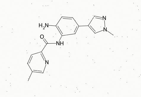 Cc1ccc(C(=O)Nc2cc(-c3cnn(C)c3)ccc2N)nc1